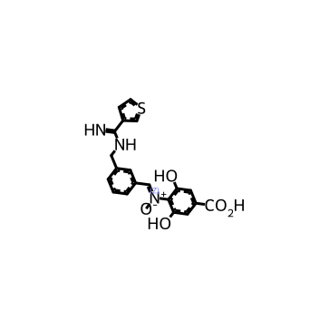 N=C(NCc1cccc(/C=[N+](\[O-])c2c(O)cc(C(=O)O)cc2O)c1)c1ccsc1